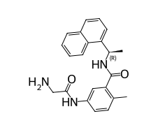 Cc1ccc(NC(=O)CN)cc1C(=O)N[C@H](C)c1cccc2ccccc12